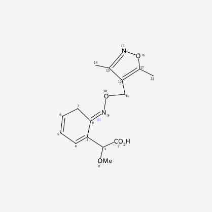 COC(C(=O)O)C1=CC=CC/C1=N\OCc1c(C)noc1C